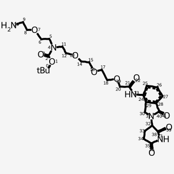 CC(C)(C)OC(=O)N(CCOCCN)CCOCCOCCOCC(=O)Nc1cccc2c1CN(C1CCC(=O)NC1=O)C2=O